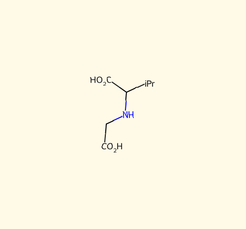 CC(C)C(NCC(=O)O)C(=O)O